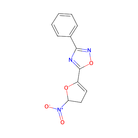 O=[N+]([O-])C1CC=C(c2nc(-c3ccccc3)no2)O1